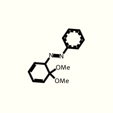 COC1(OC)C=CC=CC1N=Nc1ccccc1